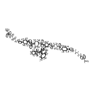 C=CC(=O)OCCCCCCOc1ccc(OC(=O)[C@H]2CC[C@H](C(=O)Oc3ccc(OC(=O)[C@H]4CC[C@H](C(=O)Oc5ccc(OCCCCCCOC(=O)C=C)cc5)CC4)c(/C=N/N(c4nc5ccccc5s4)c4ccccc4C)c3)CC2)cc1